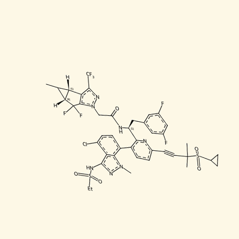 CCS(=O)(=O)Nc1nn(C)c2c(-c3ccc(C#CC(C)(C)S(=O)(=O)C4CC4)nc3[C@H](Cc3cc(F)cc(F)c3)NC(=O)Cn3nc(C(F)(F)F)c4c3C(F)(F)[C@@H]3C(C)[C@H]43)ccc(Cl)c12